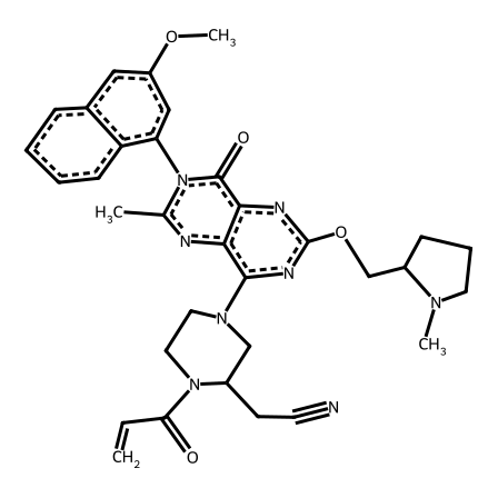 C=CC(=O)N1CCN(c2nc(OCC3CCCN3C)nc3c(=O)n(-c4cc(OC)cc5ccccc45)c(C)nc23)CC1CC#N